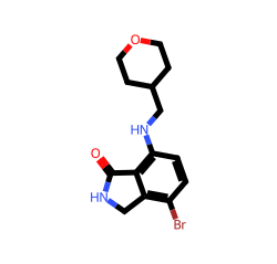 O=C1NCc2c(Br)ccc(NCC3CCOCC3)c21